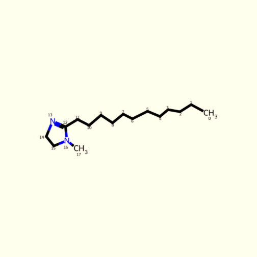 CCCCCCCCCCCCC1=NCCN1C